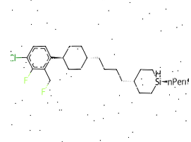 CCCCC[Si@H]1CC[C@H](CCCC[C@H]2CC[C@H](c3ccc(Cl)c(F)c3CF)CC2)CC1